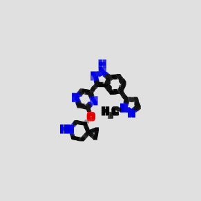 Cn1nccc1-c1ccc2[nH]nc(-c3cncc(O[C@H]4CNCCC45CC5)n3)c2c1